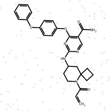 C=CC(=O)N1CCC(Nc2ncc(C(N)=O)c(Oc3ccc(Oc4ccccc4)cc3)n2)CC12CCC2